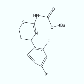 CC(C)(C)OC(=O)NC1=NC(c2ccc(F)cc2F)CCS1